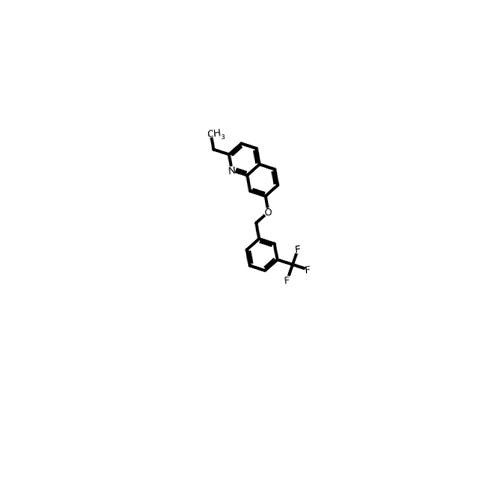 CCc1ccc2ccc(OCc3cccc(C(F)(F)F)c3)cc2n1